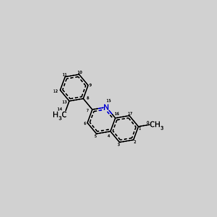 Cc1ccc2ccc(-c3ccccc3C)nc2c1